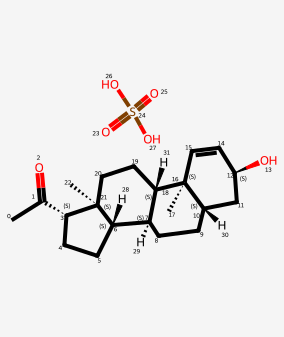 CC(=O)[C@H]1CC[C@H]2[C@@H]3CC[C@H]4C[C@H](O)C=C[C@]4(C)[C@H]3CC[C@]12C.O=S(=O)(O)O